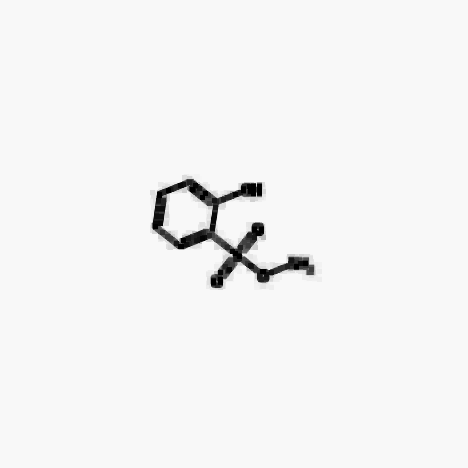 NOS(=O)(=O)c1ccccc1O